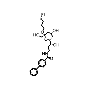 CCSCCCO[C@]1(CO)C[C@H](O)C[C@H]([C@H](O)CCNC(=O)c2ccc(-c3ccccc3)cc2)O1